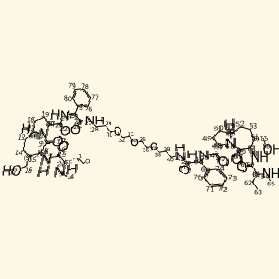 CC[C@H](NC)C(=O)N[C@@H]1C(=O)N2[C@@H](CC[C@@H]1CO)CC[C@H]2C(=O)N[C@H](C(=O)NCCCOCCOCCOCCCNC(=O)[C@@H](NC(=O)[C@@H]1CC[C@@H]2CC[C@H](CO)[C@H](NC(=O)[C@H](CC)NC)C(=O)N21)c1ccccc1)c1ccccc1